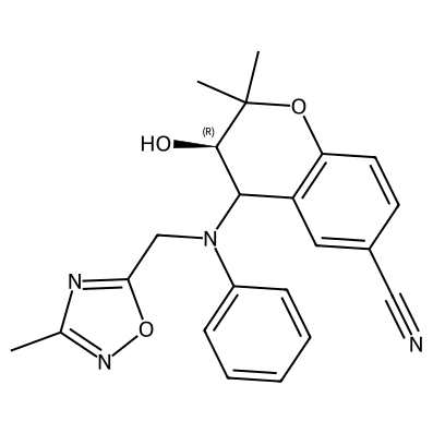 Cc1noc(CN(c2ccccc2)C2c3cc(C#N)ccc3OC(C)(C)[C@@H]2O)n1